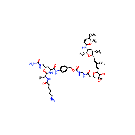 CC(=O)O[C@@H](C)/C=C\C(=O)N[C@@H]1C[C@H](C)[C@H](C/C=C(C)/C=C/[C@H]2O[C@H](CC(=O)NCNC(=O)OCc3ccc(NC(=O)[C@H](CCCNC(N)=O)NC(=O)[C@@H](NC(=O)CCCCCN)C(C)C)cc3)C[C@@]3(CO3)[C@@H]2O)O[C@@H]1C